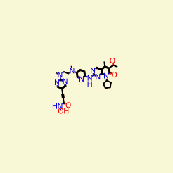 CC(=O)c1c(C)c2cnc(Nc3ccc(N(C)CCN(C)c4ncc(C#CC(=O)NO)cn4)cn3)nc2n(C2CCCC2)c1=O